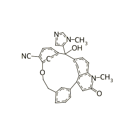 Cn1cncc1C1(O)c2ccc(C#N)c(c2)OCCc2cccc(c2)-c2cc(=O)n(C)c3ccc1cc23